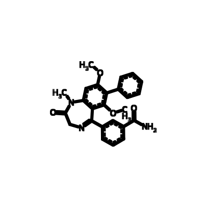 COc1cc2c(c(OC)c1-c1ccccc1)C(c1cccc(C(N)=O)c1)=NCC(=O)N2C